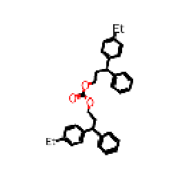 CCc1ccc(C(CCOC(=O)OCCC(c2ccccc2)c2ccc(CC)cc2)c2ccccc2)cc1